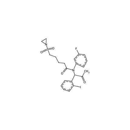 CC(=O)C(c1ccccc1I)N(C(=O)CCCCS(=O)(=O)N1CC1)c1cccc(F)c1